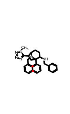 Cn1nnnc1C1CC2(c3ccccc3)C(NCc3ccccc3)CCC1N2Cc1ccccc1